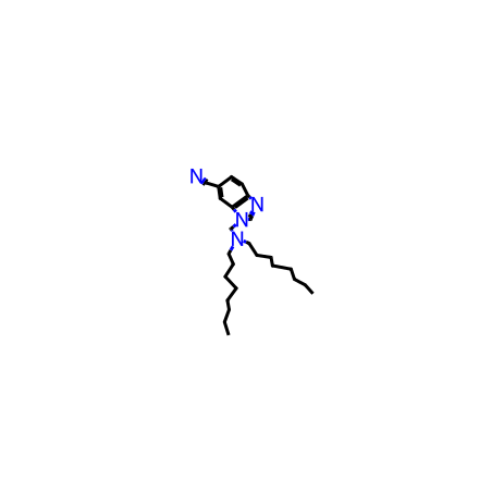 CCCCCCCCN(CCCCCCCC)Cn1cnc2ccc(C#N)cc21